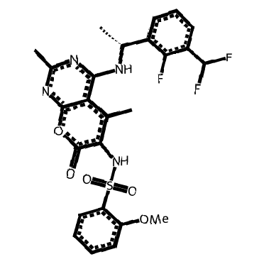 COc1ccccc1S(=O)(=O)Nc1c(C)c2c(N[C@H](C)c3cccc(C(F)F)c3F)nc(C)nc2oc1=O